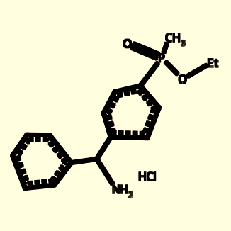 CCOP(C)(=O)c1ccc(C(N)c2ccccc2)cc1.Cl